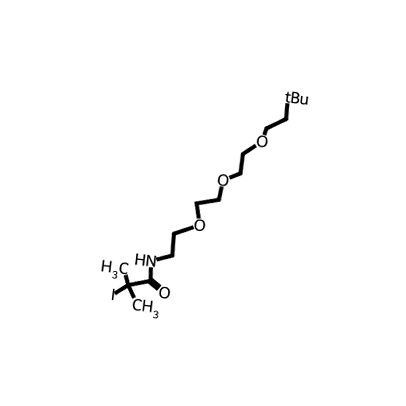 CC(C)(C)CCOCCOCCOCCNC(=O)C(C)(C)I